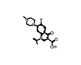 C=C(C)n1cc(C(=O)O)c(=O)c2cc(F)c(N3CCN(C)CC3)cc21